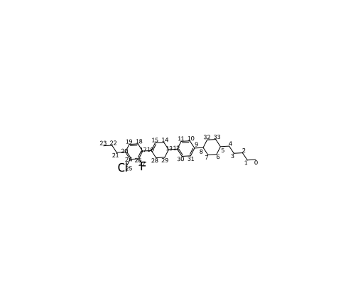 CCCCCC1CCC(c2ccc(C3CC=C(c4ccc(CCC)c(Cl)c4F)CC3)cc2)CC1